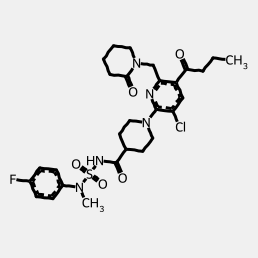 CCCC(=O)c1cc(Cl)c(N2CCC(C(=O)NS(=O)(=O)N(C)c3ccc(F)cc3)CC2)nc1CN1CCCCC1=O